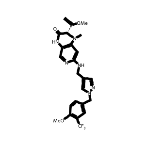 C=C(OC)[C@H]1C(=O)Nc2cnc(NCc3cnn(Cc4ccc(OC)c(C(F)(F)F)c4)c3)cc2N1C